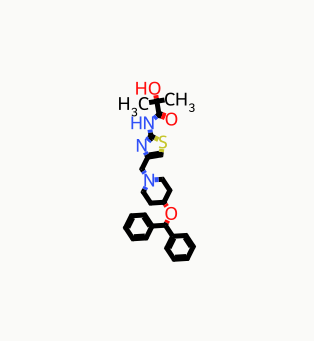 CC(C)(O)C(=O)Nc1nc(CN2CCC(OC(c3ccccc3)c3ccccc3)CC2)cs1